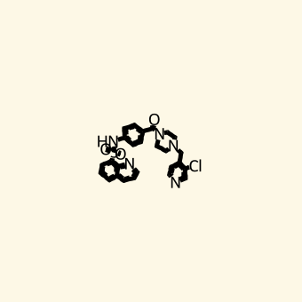 O=C(c1ccc(NS(=O)(=O)c2cccc3cccnc23)cc1)N1CCN(Cc2ccncc2Cl)CC1